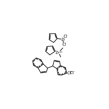 C1=CC(C2C=Cc3ccccc32)c2ccccc21.[CH3][Zr+2]([CH3])[C]1=CC=CC1.[Cl-].[Cl-].[Cl][Zr]([Cl])[C]1=CC=CC1